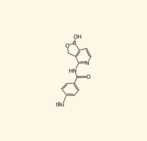 CC(C)(C)c1ccc(C(=O)Nc2nccc3c2COB3O)cc1